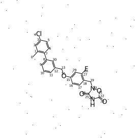 Cc1cc(Cl)ccc1-c1cccc(COc2ccc(Cn3oc(=O)[nH]c3=O)c(F)c2)c1